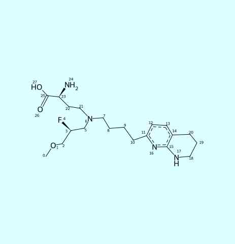 COC[C@@H](F)CN(CCCCc1ccc2c(n1)NCCC2)CC[C@H](N)C(=O)O